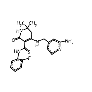 CC1(C)CC(NCc2ccnc(N)c2)=C(C(=S)Nc2ccccc2F)C(=O)N1